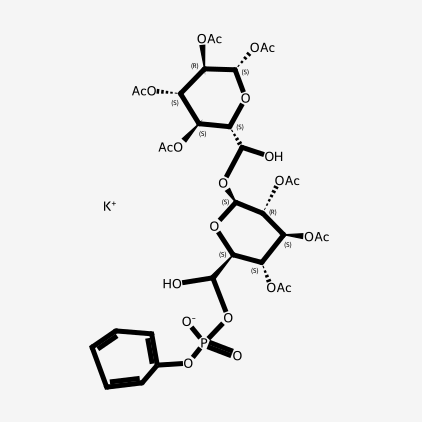 CC(=O)O[C@@H]1O[C@H](C(O)O[C@@H]2O[C@H](C(O)OP(=O)([O-])Oc3ccccc3)[C@@H](OC(C)=O)[C@H](OC(C)=O)[C@H]2OC(C)=O)[C@@H](OC(C)=O)[C@H](OC(C)=O)[C@H]1OC(C)=O.[K+]